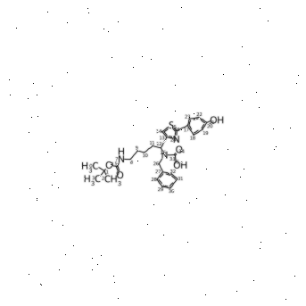 CC(C)(C)OC(=O)NCCCCC(c1csc(-c2ccc(O)cc2)n1)N(Cc1ccccc1)C(=O)O